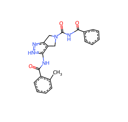 Cc1ccccc1C(=O)Nc1[nH]nc2c1CN(C(=O)NC(=O)c1ccccc1)C2